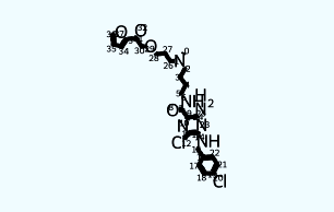 CN(CCCCNC(=O)c1nc(Cl)c(NCc2ccc(Cl)cc2)nc1N)CCCOCC(=O)c1ccco1